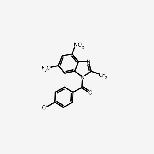 O=C(c1ccc(Cl)cc1)n1c(C(F)(F)F)nc2c([N+](=O)[O-])cc(C(F)(F)F)cc21